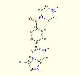 CN1CCN(C(=O)c2ccc(-c3cn4c(I)cnc4cn3)cc2)CC1